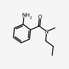 CCCN(C)C(=O)c1ccccc1N